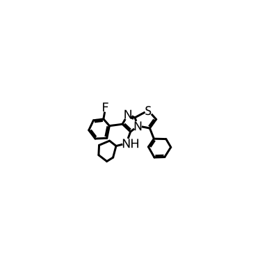 Fc1ccccc1-c1nc2scc(C3=CC=CCC3)n2c1NC1CCCCC1